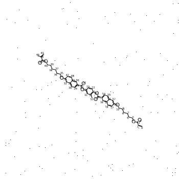 C=CC(=O)OCCCCCCOc1ccc2cc(C(=O)Oc3ccc(OC(=O)c4ccc5cc(OCCCCCCOC(=O)C(=C)C)ccc5c4)cc3C)ccc2c1